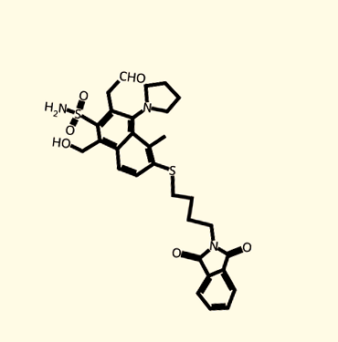 Cc1c(SCCCCN2C(=O)c3ccccc3C2=O)ccc2c(CO)c(S(N)(=O)=O)c(CC=O)c(N3CCCC3)c12